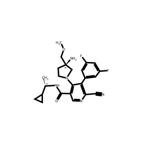 COC[C@@]1(N)CCN(c2c(C(=O)N[C@@H](C)C3CC3)cnc(C#N)c2-c2cc(F)cc(F)c2)C1